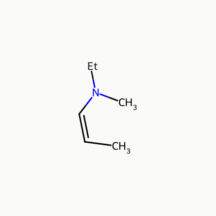 C/C=C\N(C)CC